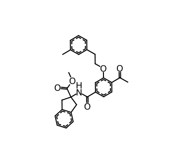 COC(=O)C1(NC(=O)c2ccc(C(C)=O)c(OCCc3cccc(C)c3)c2)Cc2ccccc2C1